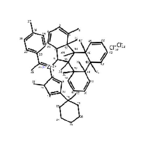 CC1=CC=CC2[CH](/[Zr+2]([C]3=CC(C4(C)CCCCC4)=CC3C)=[C](/C)c3ccc(C)cc3)C3(C)C4(C)C=CC=CC4(C)C4(C)C=CC=CC4(C)C3(C)C12C.[Cl-].[Cl-]